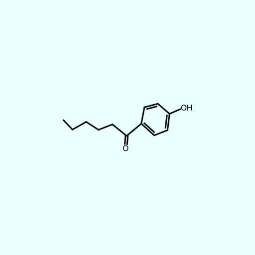 CCCCCC(=O)c1ccc(O)cc1